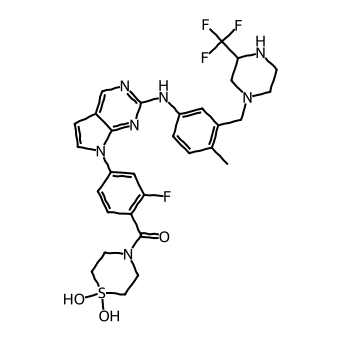 Cc1ccc(Nc2ncc3ccn(-c4ccc(C(=O)N5CCS(O)(O)CC5)c(F)c4)c3n2)cc1CN1CCNC(C(F)(F)F)C1